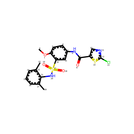 COc1ccc(NC(=O)c2cnc(Cl)s2)cc1S(=O)(=O)Nc1c(C)cccc1C